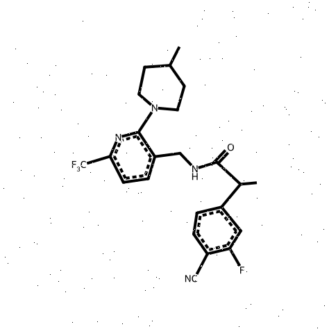 CC1CCN(c2nc(C(F)(F)F)ccc2CNC(=O)C(C)c2ccc(C#N)c(F)c2)CC1